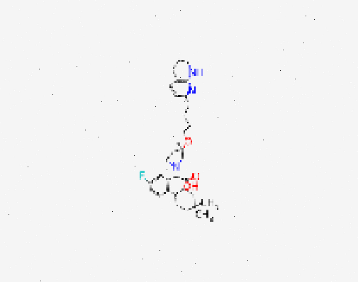 CC1(C)CCC(c2ccc(F)cc2C(C(=O)O)N2CC[C@@H](OCCCCc3ccc4c(n3)NCCC4)C2)CC1